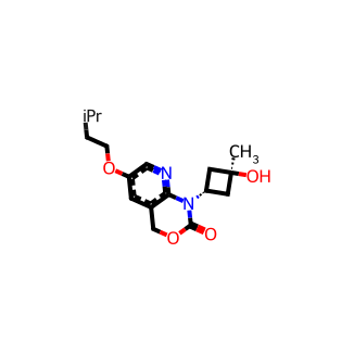 CC(C)CCOc1cnc2c(c1)COC(=O)N2[C@H]1C[C@](C)(O)C1